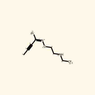 CC#C/C(=N\OCCNCC(F)(F)F)C(C)C